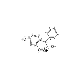 O=C(O)C(c1ccccc1)c1ccc(O)cc1O